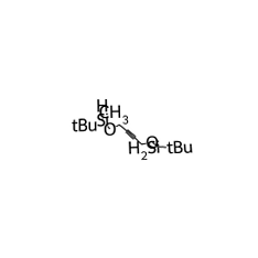 C[SiH](OCC#CCO[SiH2]C(C)(C)C)C(C)(C)C